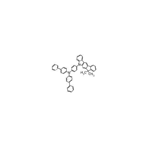 CC1(C)c2ccccc2-c2cc3c4ccccc4n(-c4ccc(N(c5ccc(-c6ccccc6)cc5)c5ccc(-c6ccccc6)cc5)cc4)c3cc21